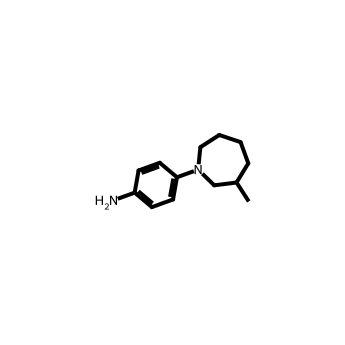 CC1CCCCN(c2ccc(N)cc2)C1